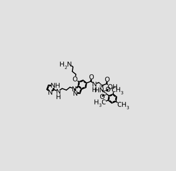 Cc1cc(C)c(S(=O)(=O)N[C@@H](CNC(=O)c2cc(OCCCN)c3c(cnn3CCCNc3ncc[nH]3)c2)C(=O)O)c(C)c1